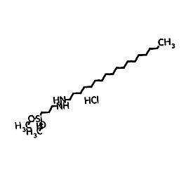 CCCCCCCCCCCCCCCCCCNNCCC[SiH](OC)OC.Cl